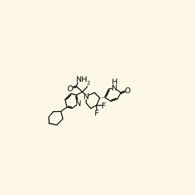 CC(C(N)=O)(c1ccc(C2CCCCC2)cn1)N1CCC(F)(F)[C@@H](c2ccc(=O)[nH]c2)C1